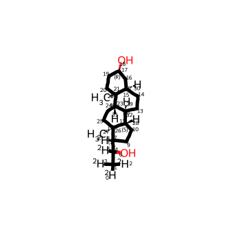 [2H]C([2H])([2H])C([2H])(O)[C@@]1([2H])CC[C@H]2[C@@H]3CC[C@@H]4C[C@H](O)CC[C@]4(C)[C@H]3CC[C@@]21C